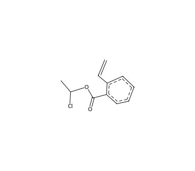 C=Cc1ccccc1C(=O)OC(C)Cl